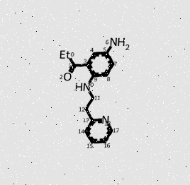 CCC(=O)c1cc(N)ccc1NCCc1ccccn1